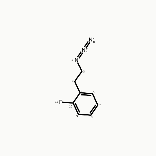 [N-]=[N+]=NCCc1ccccc1F